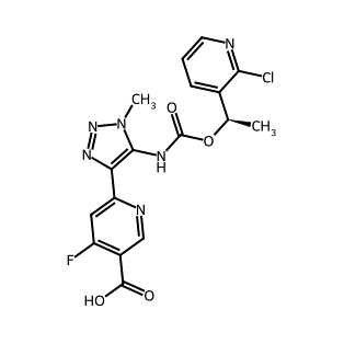 C[C@@H](OC(=O)Nc1c(-c2cc(F)c(C(=O)O)cn2)nnn1C)c1cccnc1Cl